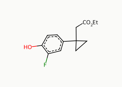 CCOC(=O)CC1(c2ccc(O)c(F)c2)CC1